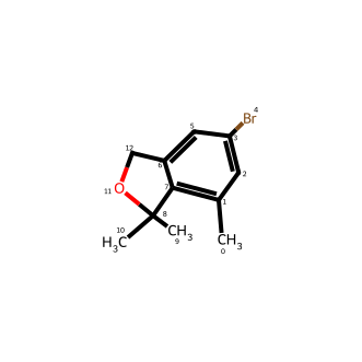 Cc1cc(Br)cc2c1C(C)(C)OC2